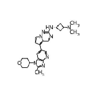 Cc1nc2ncc(-c3ccn4nc(N[C@H]5C[C@H](N(C)C)C5)ncc34)cc2n1C1CCOCC1